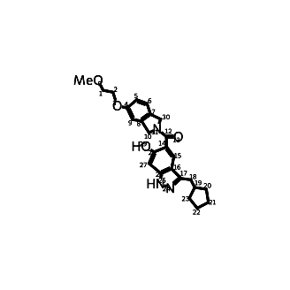 COCCOc1ccc2c(c1)CN(C(=O)c1cc3c(CC4CCCC4)n[nH]c3cc1O)C2